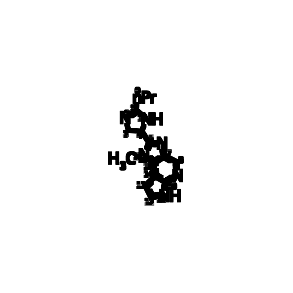 CCCC1=NCC(c2nc3cnc4[nH]ccc4c3n2C)N1